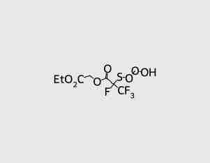 CCOC(=O)COC(=O)C(F)(SOOO)C(F)(F)F